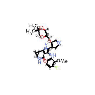 COc1c(F)cccc1Nc1c(-c2ccncc2OCC2COC(C)(C)CO2)[nH]c2c1C(=O)NC1CC21